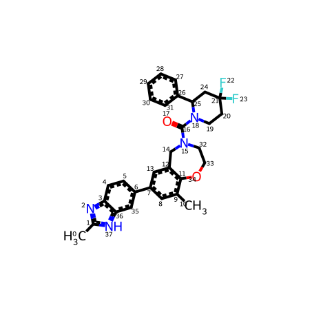 Cc1nc2ccc(-c3cc(C)c4c(c3)CN(C(=O)N3CCC(F)(F)CC3c3ccccc3)CCO4)cc2[nH]1